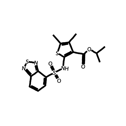 Cc1sc(NS(=O)(=O)c2cccc3nsnc23)c(C(=O)OC(C)C)c1C